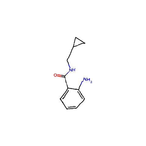 Nc1ccccc1C(=O)NCC1CC1